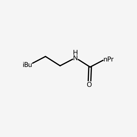 CCCC(=O)NCCC(C)CC